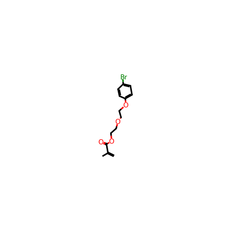 C=C(C)C(=O)OCCOCCOc1ccc(Br)cc1